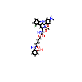 CN(C)c1ccc(C2c3[nH]c4cccc(F)c4c3CC(CNC(=O)OCCCCC(=O)Nc3ccccc3O)N2S(C)(=O)=O)cc1